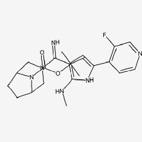 CNc1[nH]c(-c2ccncc2F)cc1C(=N)N1CC2CCC(C1)N2C(=O)OC(C)(C)C